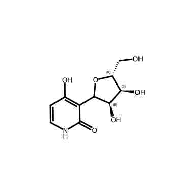 O=c1[nH]ccc(O)c1C1O[C@H](CO)[C@@H](O)[C@H]1O